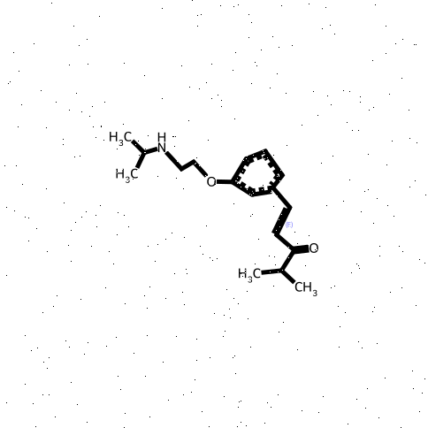 CC(C)NCCOc1cccc(/C=C/C(=O)C(C)C)c1